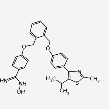 Cc1nc(-c2ccc(OCc3ccccc3COc3ccc(C(=N)NO)cc3)cc2)c(C(C)C)s1